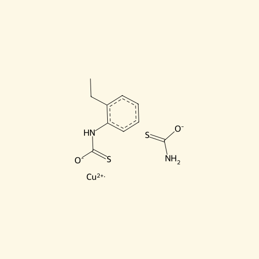 CCc1ccccc1NC([O-])=S.NC([O-])=S.[Cu+2]